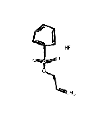 C=CCOS(=O)(=O)c1ccccc1.F